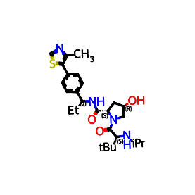 CC[C@H](NC(=O)[C@@H]1C[C@@H](O)CN1C(=O)[C@@H](NC(C)C)C(C)(C)C)c1ccc(-c2scnc2C)cc1